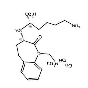 Cl.Cl.NCCCC[C@H](N[C@H]1CCc2ccccc2N(CC(=O)O)C1=O)C(=O)O